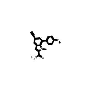 C#Cc1cc(-c2ccc(OC)cc2)c2c(c1)cc(C(N)=O)n2C